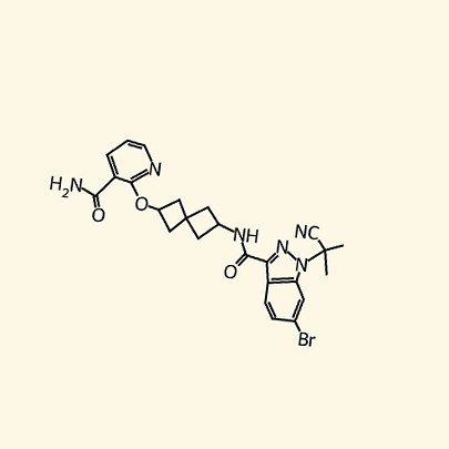 CC(C)(C#N)n1nc(C(=O)NC2CC3(C2)CC(Oc2ncccc2C(N)=O)C3)c2ccc(Br)cc21